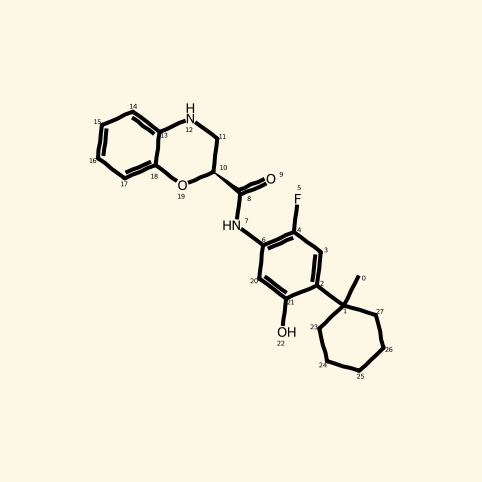 CC1(c2cc(F)c(NC(=O)[C@@H]3CNc4ccccc4O3)cc2O)CCCCC1